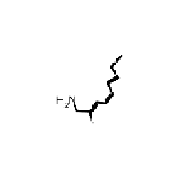 CC/C=C/C=C\C=C(/C)CN